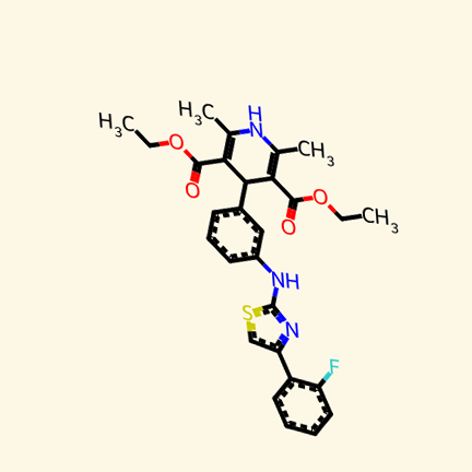 CCOC(=O)C1=C(C)NC(C)=C(C(=O)OCC)C1c1cccc(Nc2nc(-c3ccccc3F)cs2)c1